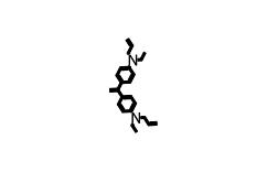 C=CCN(CC)c1ccc(C(=C)c2ccc(N(CC)CC=C)cc2)cc1